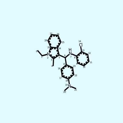 CCn1c(C)c(C(Nc2ccccc2Cl)c2ccc(N(C)C)cc2)c2ccccc21